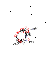 CCC/C=C/C=C/C(=O)O[C@H]1C2=CC(=O)O[C@H]2[C@H]2C[C@H](CO)OC(=O)C[C@H](O)CC[C@@H]3C[C@H](OC(C)=O)C(C)(C)[C@](O)(C[C@@H]4C/C(=C/C(=O)OC)C[C@H](/C=C/C(C)(C)[C@]1(O)O2)O4)O3